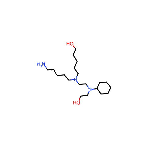 NCCCCCN(CCCCCO)CCN(CCO)C1CCCCC1